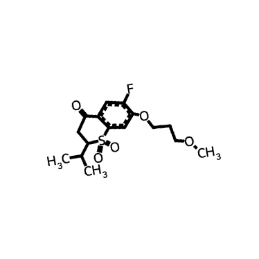 COCCCOc1cc2c(cc1F)C(=O)CC(C(C)C)S2(=O)=O